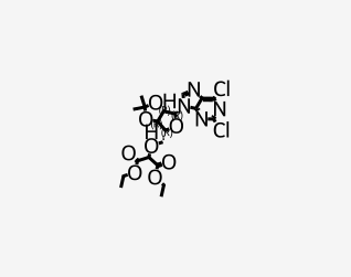 CCOC(=O)C(OC[C@H]1O[C@@H](n2cnc3c(Cl)nc(Cl)nc32)[C@@H]2OC(C)(C)O[C@@H]21)C(=O)OCC